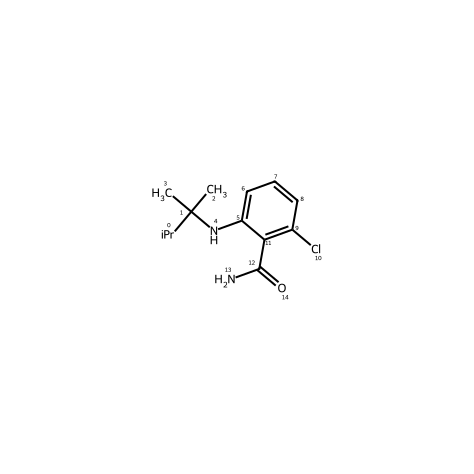 CC(C)C(C)(C)Nc1cccc(Cl)c1C(N)=O